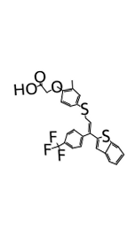 Cc1cc(SC/C=C(\c2ccc(C(F)(F)F)cc2)c2cc3ccccc3s2)ccc1OCC(=O)O